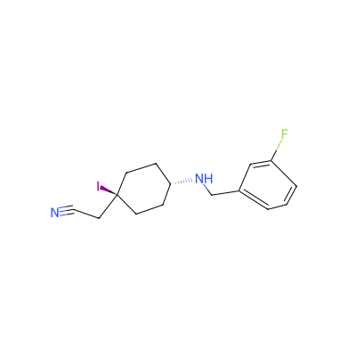 N#CC[C@]1(I)CC[C@H](NCc2cccc(F)c2)CC1